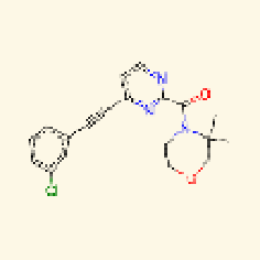 CC1(C)COCCN1C(=O)c1nccc(C#Cc2cccc(Cl)c2)n1